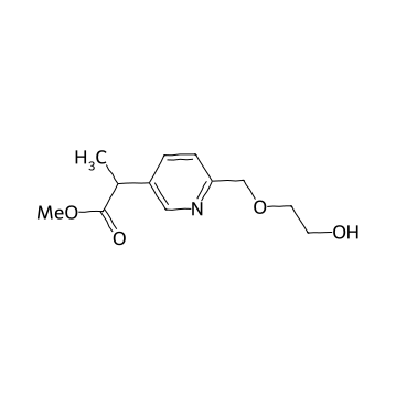 COC(=O)C(C)c1ccc(COCCO)nc1